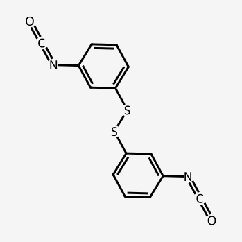 O=C=Nc1cccc(SSc2cccc(N=C=O)c2)c1